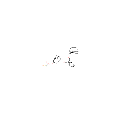 CCC1(OC(=O)C2C3C=CC(C3)C2C(=O)OC2C3CC4CC2CC(OC(=O)C(F)(F)S(=O)(=O)O)(C4)C3)C2CC3CC(C2)CC1C3